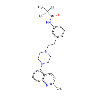 CCC(C)(C)C(=O)Nc1cccc(CCN2CCN(c3cccc4nc(C)ccc34)CC2)c1